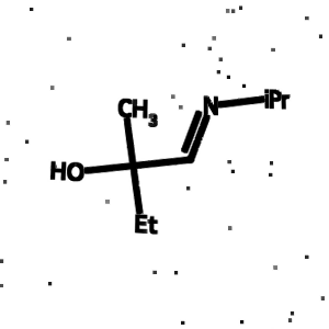 CCC(C)(O)C=NC(C)C